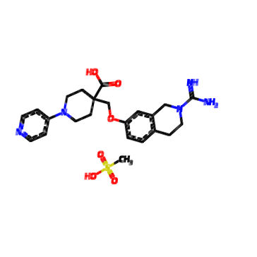 CS(=O)(=O)O.N=C(N)N1CCc2ccc(OCC3(C(=O)O)CCN(c4ccncc4)CC3)cc2C1